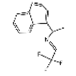 CC(N=CC(F)(F)F)c1cccc2ccccc12